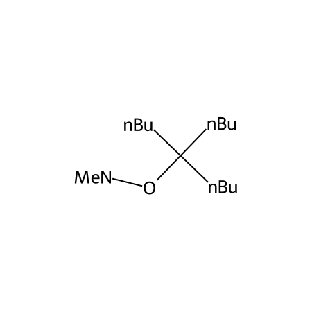 CCCCC(CCCC)(CCCC)ONC